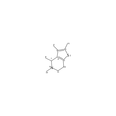 Cc1sc2c(c1C)C(C)N(C)CC2